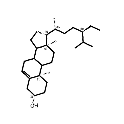 CC[C@H](CC[C@@H](C)[C@H]1CCC2C3CC=C4C[C@@H](O)CC[C@]4(C)C3CC[C@@]21C)C(C)C